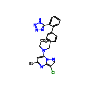 CCc1cc(N(CC(=O)O)Cc2ccc(-c3ccccc3-c3nnn[nH]3)cc2)n2ncc(Cl)c2n1